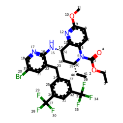 CCOC(=O)N1c2ccc(OC)nc2[C@@H](Nc2ncc(Br)cc2Cc2cc(C(F)(F)F)cc(C(F)(F)F)c2)C[C@H]1CC